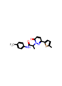 Cc1ccc(-c2ccc(=O)n(C(C)C(=O)Nc3ccc(C(F)(F)F)cc3)n2)s1